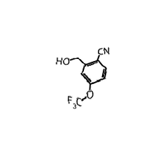 N#Cc1ccc(OC(F)(F)F)cc1CO